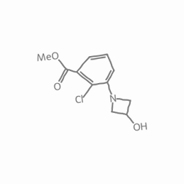 COC(=O)c1cccc(N2CC(O)C2)c1Cl